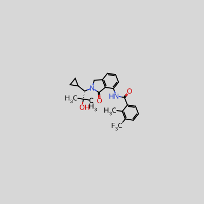 Cc1c(C(=O)Nc2cccc3c2C(=O)N([C@@H](C2CC2)C(C)(C)O)C3)cccc1C(F)(F)F